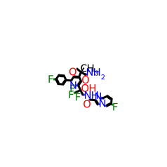 C[C@]1(C(N)=O)COc2c1cc([C@@](O)(CNC(=O)c1cn3cc(F)ccc3n1)C(F)(F)F)nc2-c1ccc(F)cc1